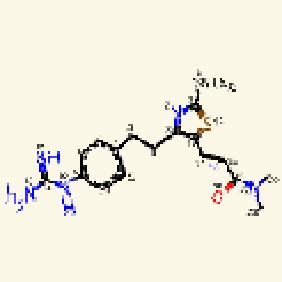 CC(=O)Nc1nc(CCc2ccc(NC(=N)N)cc2)c(/C=C/C(=O)N(C)C)s1